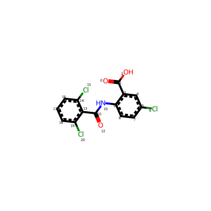 O=C(O)c1cc(Cl)ccc1NC(=O)c1c(Cl)cccc1Cl